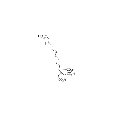 O=C(O)CNCCOCCOCC[N+](CC(=O)O)(CC(=O)O)CC(=O)O